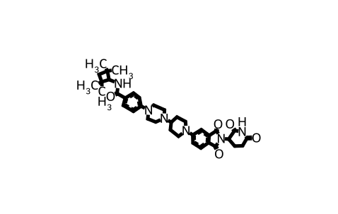 CC1(C)CC(C)(C)C1NC(=O)c1ccc(N2CCN(C3CCN(c4ccc5c(c4)C(=O)N(C4CCC(=O)NC4=O)C5=O)CC3)CC2)cc1